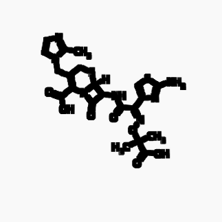 Cc1nccn1CC1=C(C(=O)O)N2C(=O)C(NC(=O)/C(=N\OC(C)(C)C(=O)O)c3csc(N)n3)[C@H]2SC1